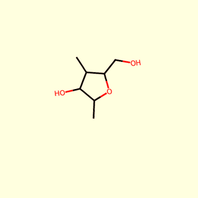 CC1OC(CO)C(C)C1O